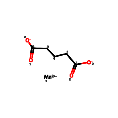 O=C([O-])CCCC(=O)[O-].[Mn+2]